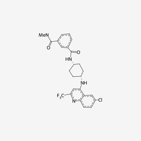 CNC(=O)c1cccc(C(=O)N[C@H]2CC[C@@H](Nc3cc(C(F)(F)F)nc4ccc(Cl)cc34)CC2)c1